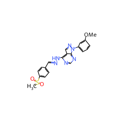 COc1cccc(-n2ncc3c(N/N=C/c4ccc(S(C)(=O)=O)cc4)ncnc32)c1